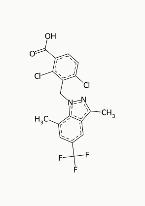 Cc1nn(Cc2c(Cl)ccc(C(=O)O)c2Cl)c2c(C)cc(C(F)(F)F)cc12